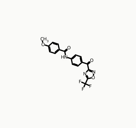 COc1ccc(C(=O)Nc2ccc(C(=O)c3noc(C(F)(F)F)n3)cc2)cc1